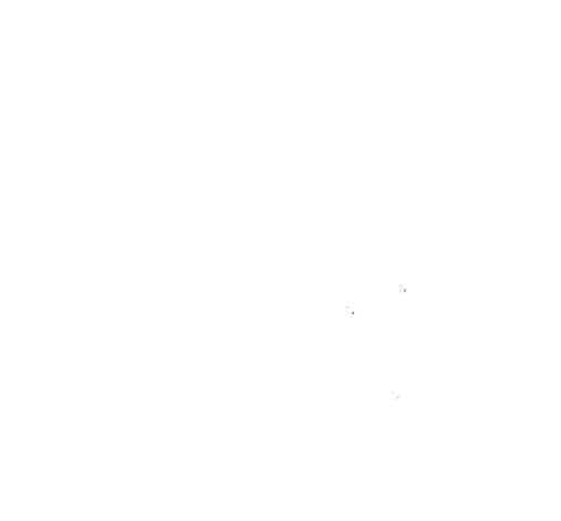 COc1ccc(-c2nc3cnccc3[nH]2)c(OCC[S+]([O-])c2ccccc2)c1